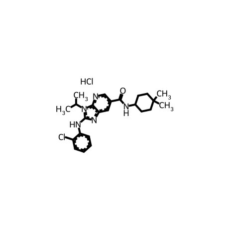 CC(C)n1c(Nc2ccccc2Cl)nc2cc(C(=O)NC3CCC(C)(C)CC3)cnc21.Cl